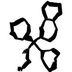 CC(C)CNC(c1ccccc1)(c1ccccc1)c1ccc2ccccc2c1